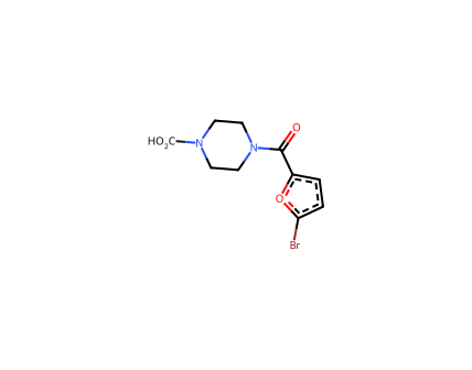 O=C(O)N1CCN(C(=O)c2ccc(Br)o2)CC1